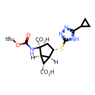 CC(C)(C)OC(=O)N[C@@]1(C(=O)O)C[C@H](Sc2nnc(C3CC3)[nH]2)[C@H]2[C@H](C(=O)O)[C@H]21